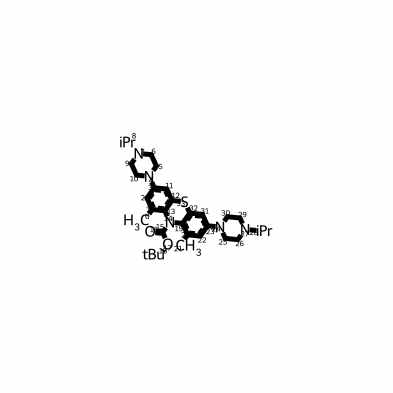 Cc1cc(N2CCN(C(C)C)CC2)cc2c1N(C(=O)OC(C)(C)C)c1c(C)cc(N3CCN(C(C)C)CC3)cc1S2